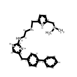 CN(C)Cc1ccc(CSCCNc2nc(Cc3ccc(-c4ccccc4)cc3)cs2)o1